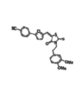 COc1ccc(CCN2C(=O)/C(=C\c3ccc(-c4ccc(C#N)cc4)o3)SC2=S)cc1OC